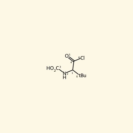 CC(C)(C)C(NC(=O)O)C(=O)Cl